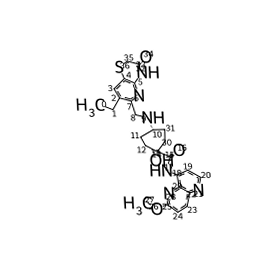 CCc1cc2c(nc1CN[C@H]1CC[C@](O)(C(=O)Nc3ccnc4ccc(OC)nc34)CC1)NC(=O)CS2